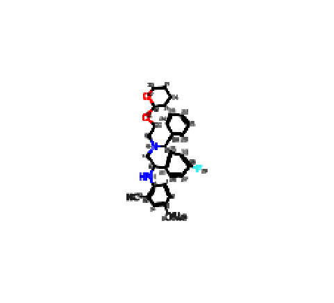 COc1ccc(N[C@@H](CN(CCOC2CCCCO2)Cc2ccccc2)c2ccc(F)cc2)c(C#N)c1